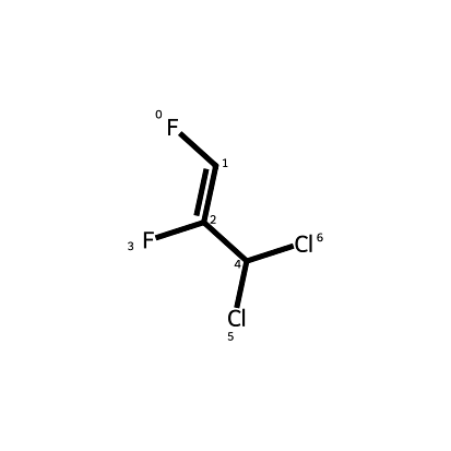 F/C=C(\F)C(Cl)Cl